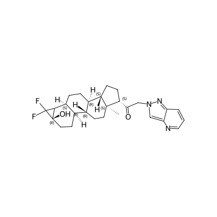 C[C@]12CC[C@@H]3[C@H]4CC[C@@]5(O)C([C@H]4CC[C@H]3[C@@H]1CC[C@@H]2C(=O)Cn1cc2ncccc2n1)C5(F)F